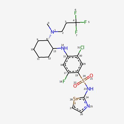 CN(CCC(F)(F)F)[C@H]1CCCCC1Nc1cc(F)c(S(=O)(=O)Nc2nccs2)cc1Cl